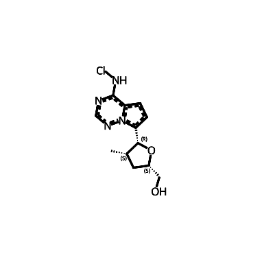 C[C@H]1C[C@@H](CO)O[C@H]1c1ccc2c(NCl)ncnn12